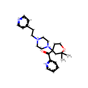 CC1(C)CC(C(=O)c2ccccn2)(N2CCN(CCc3ccncc3)CC2)CCO1